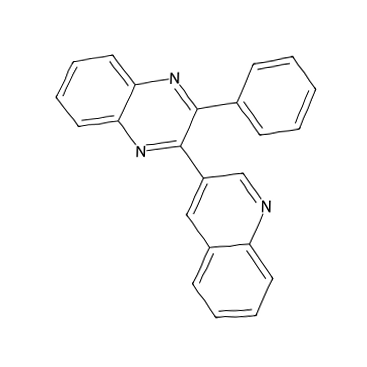 c1ccc(-c2nc3ccccc3nc2-c2cnc3ccccc3c2)cc1